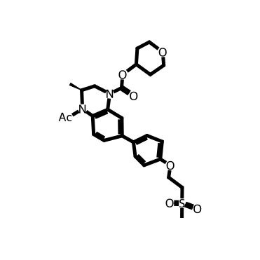 CC(=O)N1c2ccc(-c3ccc(OCCS(C)(=O)=O)cc3)cc2N(C(=O)OC2CCOCC2)C[C@@H]1C